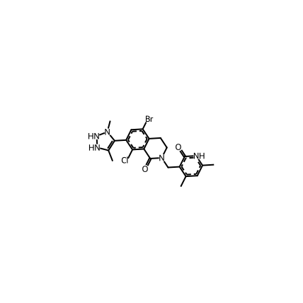 CC1=C(c2cc(Br)c3c(c2Cl)C(=O)N(Cc2c(C)cc(C)[nH]c2=O)CC3)N(C)NN1